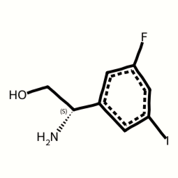 N[C@H](CO)c1cc(F)cc(I)c1